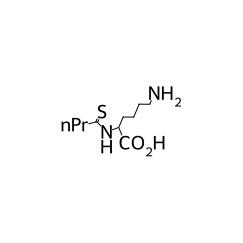 CCCC(=S)NC(CCCCN)C(=O)O